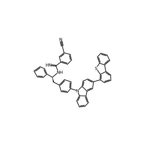 N#Cc1cccc(C(=N)N[C@@H](Cc2ccc(-n3c4ccccc4c4cc(-c5cccc6c5sc5ccccc56)ccc43)cc2)c2ccccc2)c1